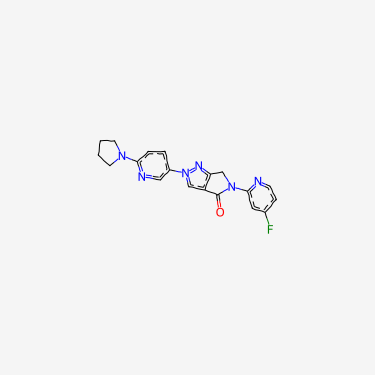 O=C1c2cn(-c3ccc(N4CCCC4)nc3)nc2CN1c1cc(F)ccn1